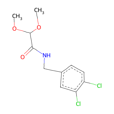 COC(OC)C(=O)NCc1ccc(Cl)c(Cl)c1